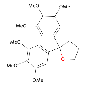 COc1cc(C2(c3cc(OC)c(OC)c(OC)c3)CCCO2)cc(OC)c1OC